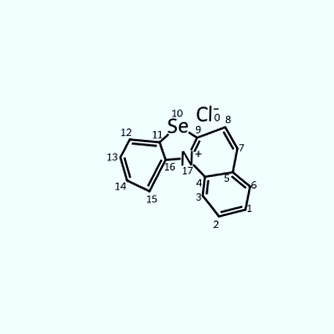 [Cl-].c1ccc2c(c1)ccc1[se]c3ccccc3[n+]12